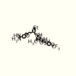 CCN1CC(C=Cc2cc3cc(C(=N)N)ccc3o2)C(CNc2cc(C)nc(NC(=O)NSc3ccc(OC(F)(F)F)cc3)n2)C1